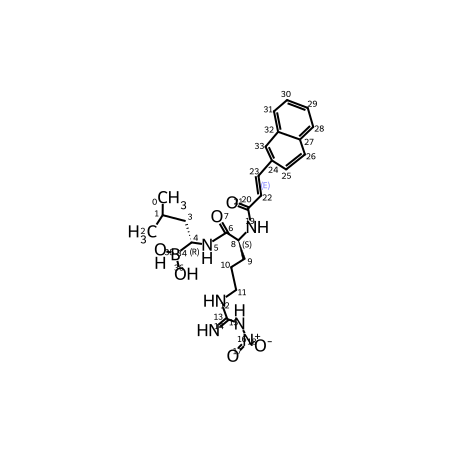 CC(C)C[C@H](NC(=O)[C@H](CCCNC(=N)N[N+](=O)[O-])NC(=O)/C=C/c1ccc2ccccc2c1)B(O)O